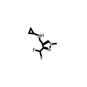 Cn1cc(CNC2CC2)c(C(F)F)n1